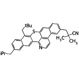 CC(C)Cc1ccc2c(CC(C)(C)C)c3c(cc2c1)-c1nccc2c1c(cc1ccc(CC(C)(C)C#N)cc12)S3